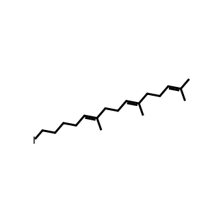 CC(C)=CCC/C(C)=C/CC/C(C)=C/CCCCI